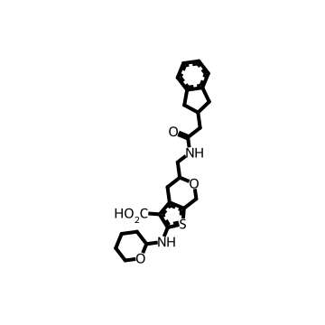 O=C(CC1Cc2ccccc2C1)NCC1Cc2c(sc(NC3CCCCO3)c2C(=O)O)CO1